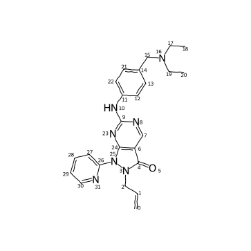 C=CCn1c(=O)c2cnc(Nc3ccc(CN(CC)CC)cc3)nc2n1-c1ccccn1